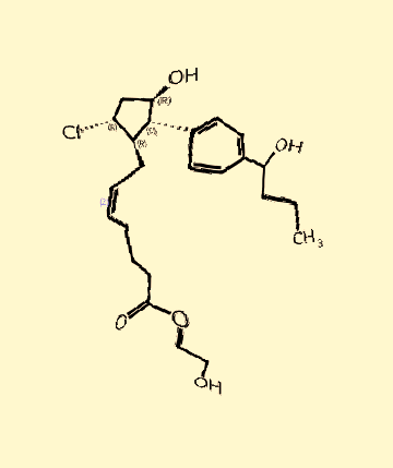 CCCC(O)c1ccc([C@@H]2[C@@H](C/C=C\CCCC(=O)OCCO)[C@H](Cl)C[C@H]2O)cc1